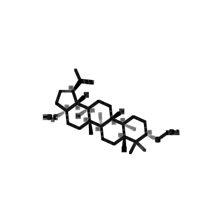 C=C(C)[C@@H]1CC[C@]2(C(=O)O)CC[C@]3(C)[C@H](CC[C@@H]4[C@@]5(C)CC[C@H](OCCCCCCCC)C(C)(C)[C@@H]5CC[C@]43C)[C@@H]12